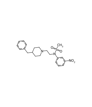 CS(=O)(=O)N(CCN1CCC(Cc2ccccc2)CC1)c1cccc([N+](=O)[O-])c1